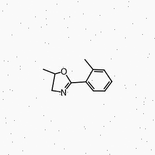 Cc1ccccc1C1=NCC(C)O1